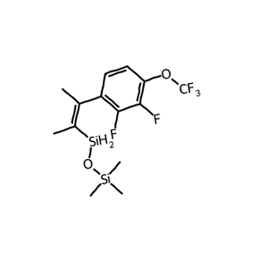 CC([SiH2]O[Si](C)(C)C)=C(C)c1ccc(OC(F)(F)F)c(F)c1F